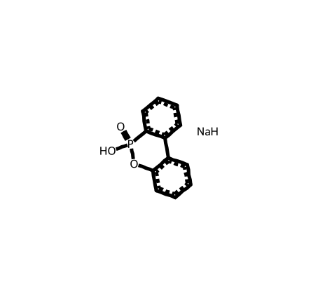 O=P1(O)Oc2ccccc2-c2ccccc21.[NaH]